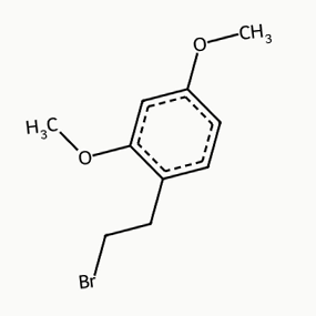 COc1ccc(CCBr)c(OC)c1